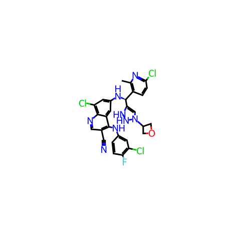 Cc1nc(Cl)ccc1[C@H](Nc1cc(Cl)c2ncc(C#N)c(Nc3ccc(F)c(Cl)c3)c2c1)C1=CN(C2COC2)NN1